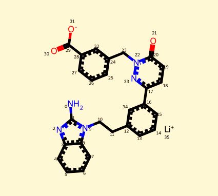 Nc1nc2ccccc2n1CCc1cccc(-c2ccc(=O)n(Cc3cccc(C(=O)[O-])c3)n2)c1.[Li+]